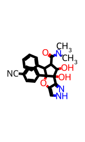 CN(C)C(=O)C1C(O)C2(O)c3n[nH]cc3OC2(c2ccc(C#N)cc2)C1c1ccccc1